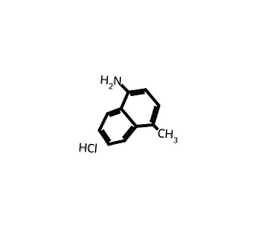 Cc1ccc(N)c2ccccc12.Cl